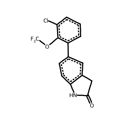 O=C1Cc2cc(-c3cccc(Cl)c3OC(F)(F)F)ccc2N1